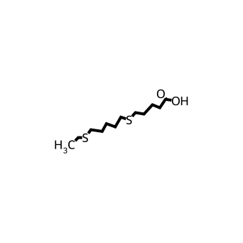 CCSCCCCCSCCCCC(=O)O